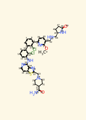 COc1nc(-c2cccc(-c3cccc(Nc4nccc5sc(CN6CCC(C(N)=O)CC6)nc45)c3Cl)c2Cl)ccc1CNC[C@H]1CCC(=O)N1